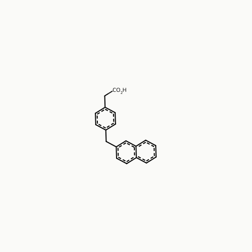 O=C(O)Cc1ccc(Cc2ccc3ccccc3c2)cc1